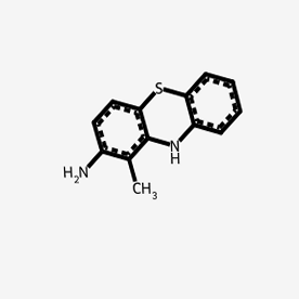 Cc1c(N)ccc2c1Nc1ccccc1S2